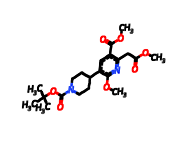 COC(=O)Cc1nc(OC)c(C2CCN(C(=O)OC(C)(C)C)CC2)cc1C(=O)OC